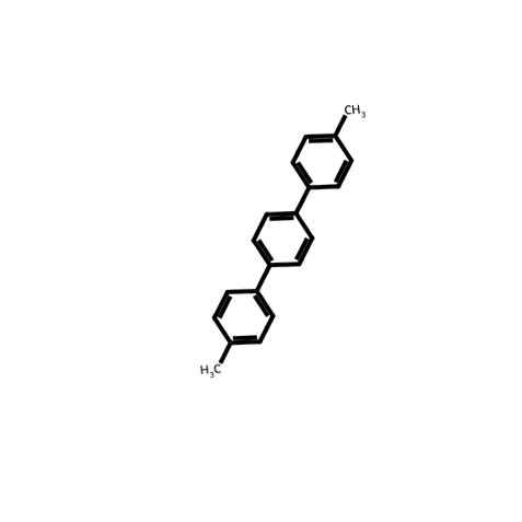 Cc1ccc(-c2ccc(-c3ccc(C)cc3)cc2)cc1